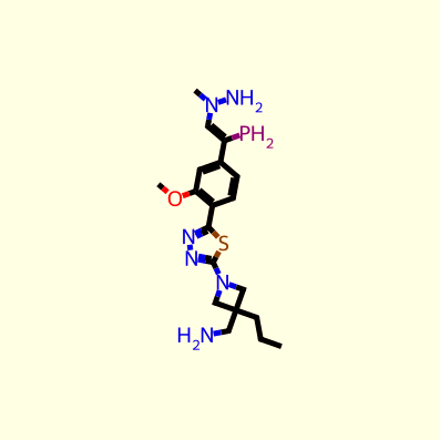 CCCC1(CN)CN(c2nnc(-c3ccc(/C(P)=C/N(C)N)cc3OC)s2)C1